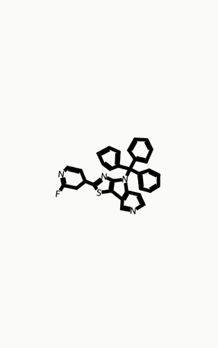 FC1=NC=CC(c2nc3c(s2)c2cnccc2n3C(c2ccccc2)(c2ccccc2)c2ccccc2)C1